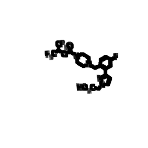 O=C(O)Cn1ccc(-c2cc(F)ccc2CN2CCN(C(=O)OC(C(F)(F)F)C(F)(F)F)CC2)n1